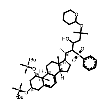 C[C@H](C(C(O)CC(C)(C)OC1CCCCO1)S(=O)(=O)c1ccccc1)[C@H]1CC[C@H]2C3=CC=C4C[C@@H](O[Si](C)(C)C(C)(C)C)C[C@H](O[Si](C)(C)C(C)(C)C)[C@]4(C)[C@H]3CC[C@]12C